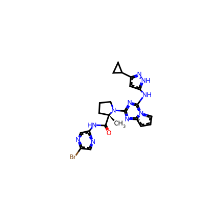 C[C@@]1(C(=O)Nc2cnc(Br)cn2)CCCN1c1nc(Nc2cc(C3CC3)n[nH]2)n2cccc2n1